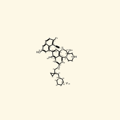 C#Cc1c(F)ccc2cc(O)cc(-c3nc4c5c(nc(OCC6(CN7CCC[C@@H](F)C7)CC6)nc5c3F)N3CCNC[C@H]3CO4)c12